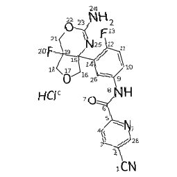 Cl.N#Cc1ccc(C(=O)Nc2ccc(F)c(C34COCC3(F)COC(N)=N4)c2)nc1